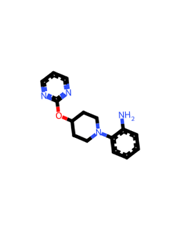 Nc1ccccc1N1CCC(Oc2ncccn2)CC1